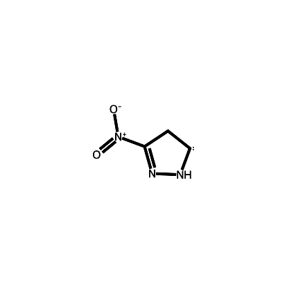 O=[N+]([O-])C1=NN[C]C1